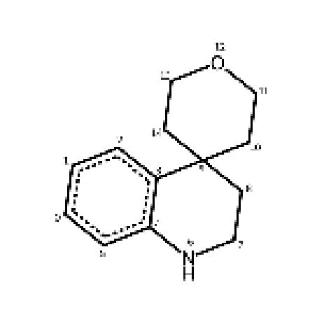 c1ccc2c(c1)NCCC21CCOCC1